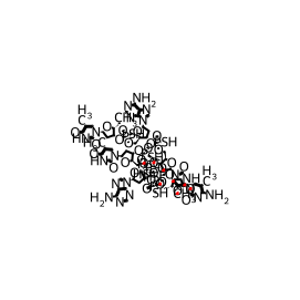 CC[C@H]1O[C@@H](n2cc(C)c(=O)[nH]c2=O)CC1OP(=O)(S)OC[C@H]1O[C@@H](n2cnc3c(N)ncnc32)CC1OP(=O)(S)OC[C@H]1O[C@@H](n2cc(C)c(=O)[nH]c2=O)CC1OP(=O)(S)OC[C@H]1O[C@@H](n2cc(C)c(=O)[nH]c2=O)CC1OP(=O)(S)OC[C@H]1O[C@@H](n2cnc3c(N)ncnc32)CC1OP(=O)(S)OC[C@H]1O[C@@H](n2cc(C)c(N)nc2=O)CC1OP(=O)(S)OC